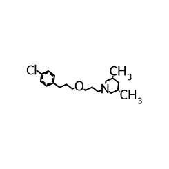 C[C@H]1C[C@H](C)CN(CCCOCCCc2ccc(Cl)cc2)C1